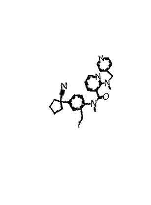 CN(Cc1ccncc1)c1ncccc1C(=O)N(C)c1ccc(C2(C#N)CCCC2)cc1CI